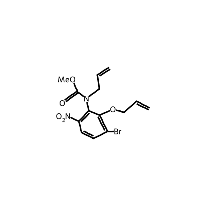 C=CCOc1c(Br)ccc([N+](=O)[O-])c1N(CC=C)C(=O)OC